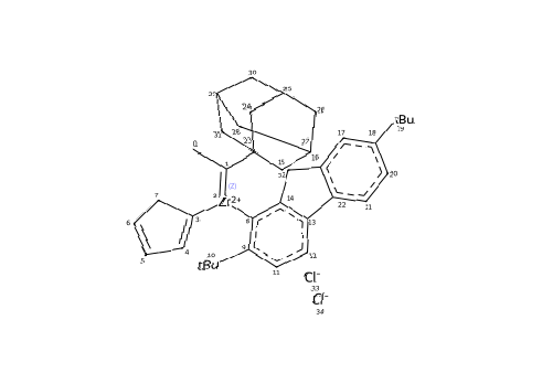 C/[C](=[Zr+2](\[C]1=CC=CC1)[c]1c(C(C)(C)C)ccc2c1Cc1cc(C(C)(C)C)ccc1-2)C12CC3CC(CC(C3)C1)C2.[Cl-].[Cl-]